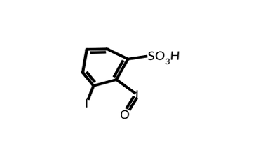 O=Ic1c(I)cccc1S(=O)(=O)O